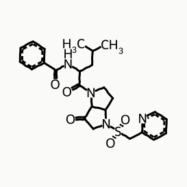 CC(C)CC(NC(=O)c1ccccc1)C(=O)N1CCC2C1C(=O)CN2S(=O)(=O)Cc1ccccn1